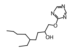 CCCCC(CC)CCC(O)COc1ncncn1